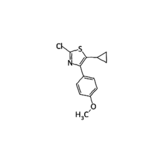 COc1ccc(-c2nc(Cl)sc2C2CC2)cc1